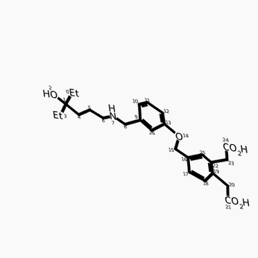 CCC(O)(CC)CCCNCc1cccc(OCc2ccc(CC(=O)O)c(CC(=O)O)c2)c1